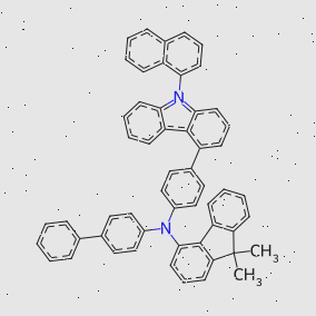 CC1(C)c2ccccc2-c2c(N(c3ccc(-c4ccccc4)cc3)c3ccc(-c4cccc5c4c4ccccc4n5-c4cccc5ccccc45)cc3)cccc21